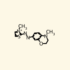 CN1CCOc2cc(N=Nc3scc[n+]3C)ccc21